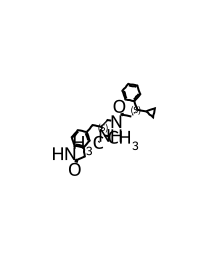 CN(C)[C@H](CNC(=O)C[C@H](c1ccccc1)C1CC1)Cc1ccc2c(c1)CC(=O)N2